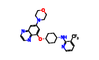 FC(F)(F)c1cccnc1N[C@H]1CC[C@@H](Oc2cc(N3CCOCC3)cc3nccnc23)CC1